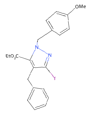 CCOC(=O)c1c(Cc2ccccc2)c(I)nn1Cc1ccc(OC)cc1